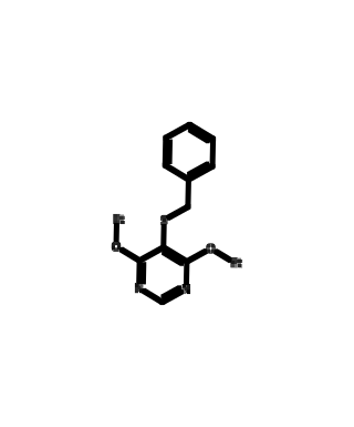 CCOc1ncnc(OCC)c1SCc1ccccc1